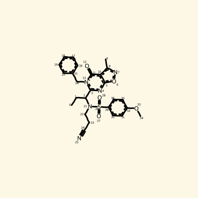 CCC(c1nc2onc(C)c2c(=O)n1Cc1ccccc1)N(CCC#N)S(=O)(=O)c1ccc(OC)cc1